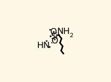 CCCCCC(N)[Si](C)(OC)OC.CNC